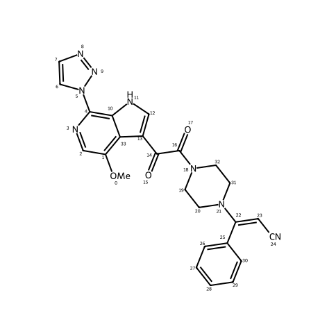 COc1cnc(-n2ccnn2)c2[nH]cc(C(=O)C(=O)N3CCN(/C(=C/C#N)c4ccccc4)CC3)c12